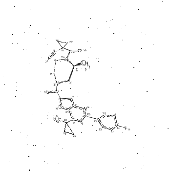 C[C@H]1CN(C(=O)c2cc3nc(-c4ccc(F)cc4)cc(C4(C)CC4)c3o2)CCN1C(=O)C1(C#N)CC1